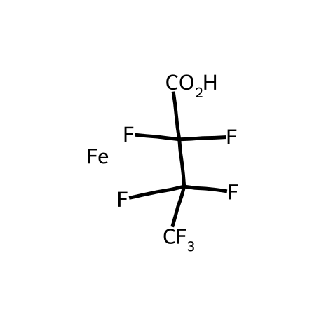 O=C(O)C(F)(F)C(F)(F)C(F)(F)F.[Fe]